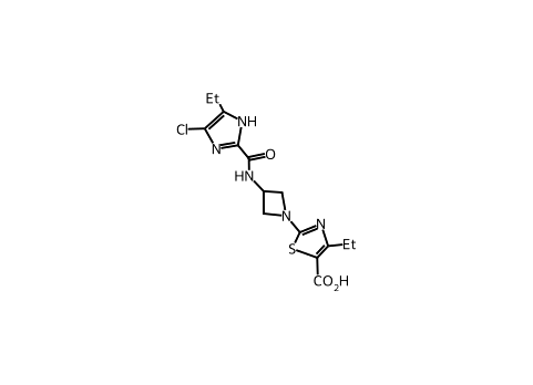 CCc1nc(N2CC(NC(=O)c3nc(Cl)c(CC)[nH]3)C2)sc1C(=O)O